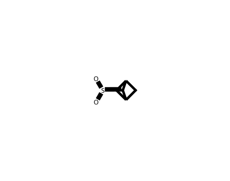 O=S(=O)=C1C2CC1C2